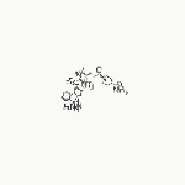 CCCCc1nc(C)c(CCC(=O)N2CCC(C(N)=O)CC2)c(=O)n1Cc1ccc(-c2ccccc2-c2nnn[nH]2)cc1